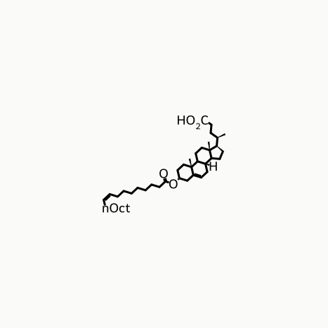 CCCCCCCC/C=C\CCCCCCCC(=O)O[C@H]1CC[C@@]2(C)C(=CC[C@@H]3C2CC[C@@]2(C)C3CC[C@@H]2[C@H](C)CCC(=O)O)C1